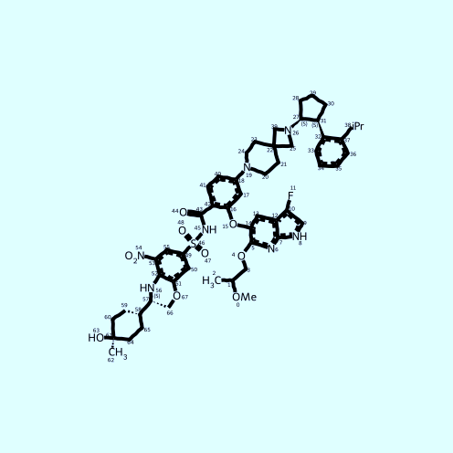 COC(C)COc1nc2[nH]cc(F)c2cc1Oc1cc(N2CCC3(CC2)CN([C@H]2CCC[C@H]2c2ccccc2C(C)C)C3)ccc1C(=O)NS(=O)(=O)c1cc2c(c([N+](=O)[O-])c1)N[C@@H]([C@H]1CC[C@](C)(O)CC1)CO2